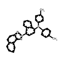 Cc1ccc(N(c2ccc(C)cc2)c2ccc(-n3nc4ccc5ccccc5c4n3)c3ccccc23)cc1